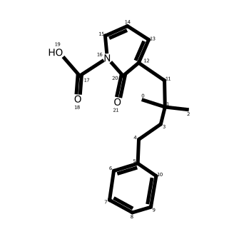 CC(C)(CCc1ccccc1)Cc1cccn(C(=O)O)c1=O